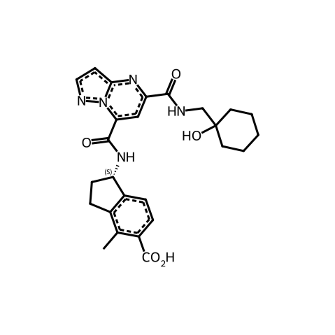 Cc1c(C(=O)O)ccc2c1CC[C@@H]2NC(=O)c1cc(C(=O)NCC2(O)CCCCC2)nc2ccnn12